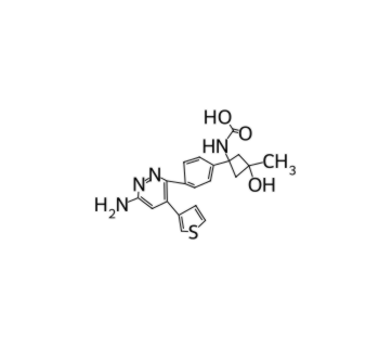 CC1(O)CC(NC(=O)O)(c2ccc(-c3nnc(N)cc3-c3ccsc3)cc2)C1